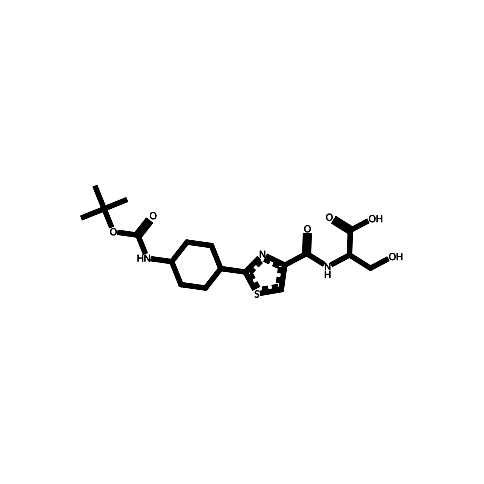 CC(C)(C)OC(=O)NC1CCC(c2nc(C(=O)NC(CO)C(=O)O)cs2)CC1